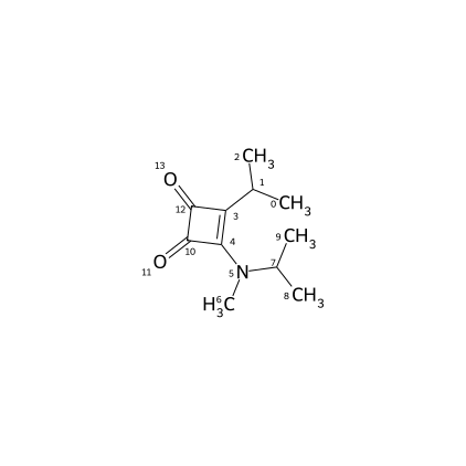 CC(C)c1c(N(C)C(C)C)c(=O)c1=O